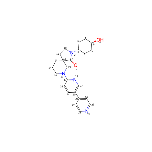 O=C1N([C@H]2CC[C@H](O)CC2)CCC12CCCN(c1ccc(-c3ccncc3)cn1)C2